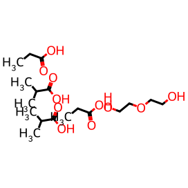 CC(C)C(=O)O.CC(C)C(=O)O.CCC(=O)O.CCC(=O)O.OCCOCCO